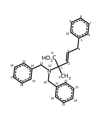 CC(/C=C/Cc1ccccc1)(C(=O)O)N(Cc1ccccc1)Cc1ccccc1